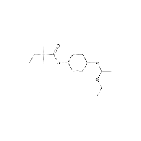 CCOC(C)OC1CCC(OC(=O)C(C)(C)CC)CC1